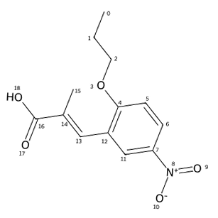 CCCOc1ccc([N+](=O)[O-])cc1/C=C(\C)C(=O)O